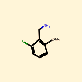 COc1cccc(F)c1CN